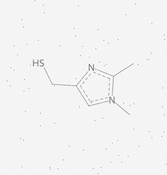 Cc1nc(CS)cn1C